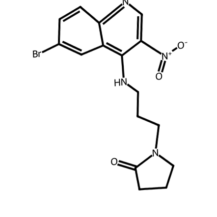 O=C1CCCN1CCCNc1c([N+](=O)[O-])cnc2ccc(Br)cc12